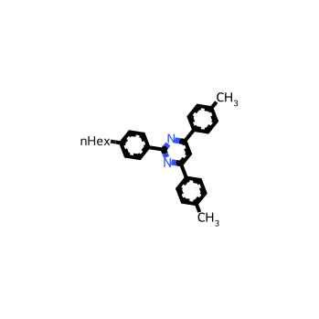 CCCCCCc1ccc(-c2nc(-c3ccc(C)cc3)cc(-c3ccc(C)cc3)n2)cc1